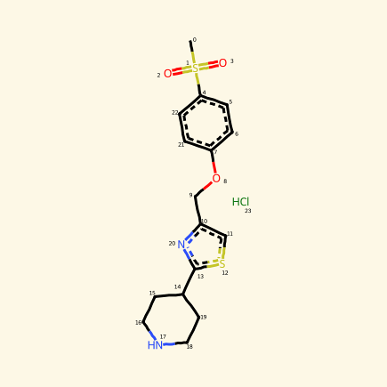 CS(=O)(=O)c1ccc(OCc2csc(C3CCNCC3)n2)cc1.Cl